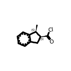 C[C@@H]1c2ccccc2C[C@@H]1C(=O)Cl